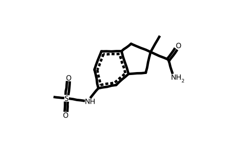 CC1(C(N)=O)Cc2ccc(NS(C)(=O)=O)cc2C1